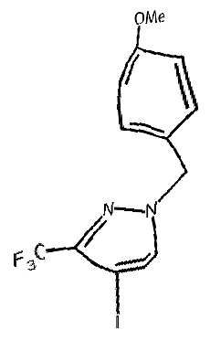 COc1ccc(Cn2cc(I)c(C(F)(F)F)n2)cc1